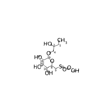 CCC(O)COC1OC(CSOOO)C(O)C(O)C1O